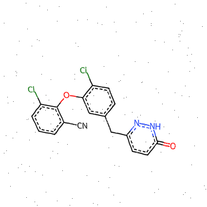 N#Cc1cccc(Cl)c1Oc1cc(Cc2ccc(=O)[nH]n2)ccc1Cl